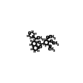 COc1cc(C(=O)Oc2c(C(C)N3CCOCC3)ccc3cccnc23)cc(OC)c1OC